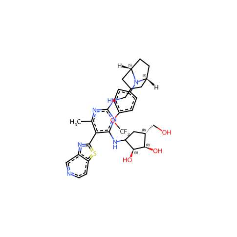 Cc1nc(NCC2C[C@H]3CC[C@@H](C2)N3c2ccc(OC(F)(F)F)cc2)nc(NC2C[C@H](CO)[C@@H](O)[C@H]2O)c1-c1nc2cnccc2s1